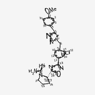 COc1ccc(-c2cn(Cc3ccc(-c4noc([C@@H]5CCCN5C(=N)N)n4)cc3)nn2)cc1.Cl